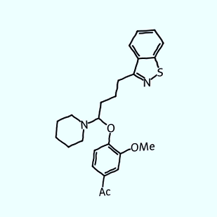 COc1cc(C(C)=O)ccc1OC(CCCc1nsc2ccccc12)N1CCCCC1